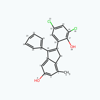 Cc1cc(O)cc2c1CC(c1cc(Cl)cc(Cl)c1O)=C2c1ccccc1